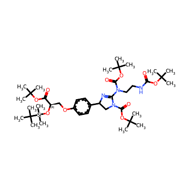 CC(C)(C)OC(=O)NCCN(C(=O)OC(C)(C)C)C1=NC(c2ccc(OC[C@@H](O[Si](C)(C)C(C)(C)C)C(=O)OC(C)(C)C)cc2)CN1C(=O)OC(C)(C)C